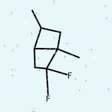 CC1CC2(C)C1CC2(F)F